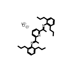 CCCc1cccc(CCC)c1N=C(C)c1cccc(C(C)=Nc2c(CCC)cccc2CCC)n1.[Cl-].[Cl-].[V+2]